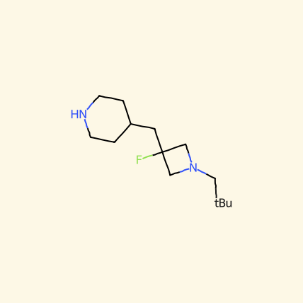 CC(C)(C)CN1CC(F)(CC2CCNCC2)C1